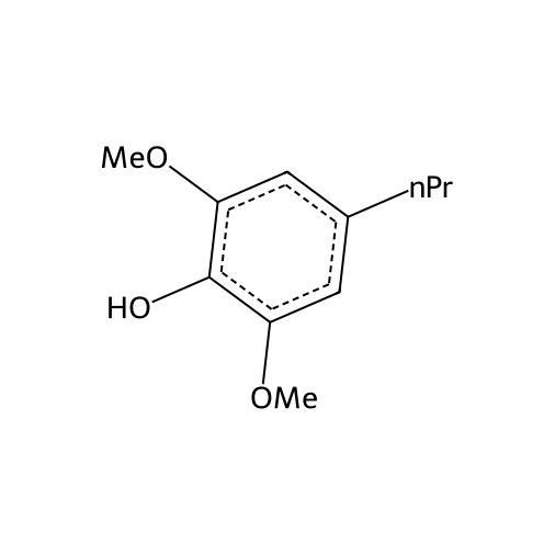 CCCc1cc(OC)c(O)c(OC)c1